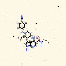 CNC(=O)c1cnc2[nH]ccc2c1N[C@H]1CCN(Cc2ccc(C#N)cc2)[C@@H](C)C1